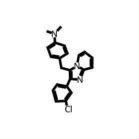 CN(C)c1ccc(Cc2c(-c3cccc(Cl)c3)nc3ccccn23)cc1